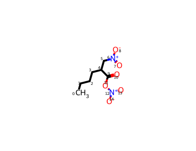 CCCCC(C[N+](=O)[O-])C(=O)O[N+](=O)[O-]